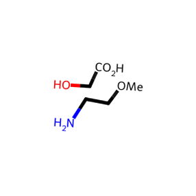 COCCN.O=C(O)CO